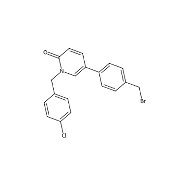 O=c1ccc(-c2ccc(CBr)cc2)cn1Cc1ccc(Cl)cc1